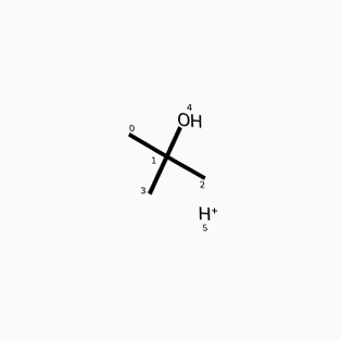 CC(C)(C)O.[H+]